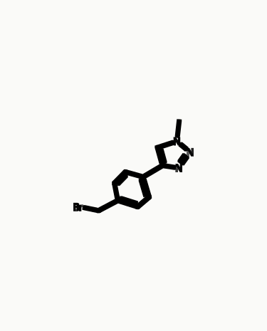 Cn1cc(-c2ccc(CBr)cc2)nn1